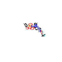 COc1cc(C)ccc1S(=O)(=O)NC(=O)c1ccc(-n2ccc(OCC3(C(C)(F)F)CC3)n2)nc1N1CCCC1(C)C